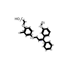 CCOc1cccc(/C(=C\CSc2ccc(OCC(=O)O)c(I)c2)c2ccccc2)c1